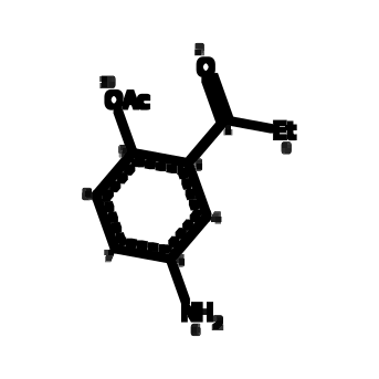 CCC(=O)c1cc(N)ccc1OC(C)=O